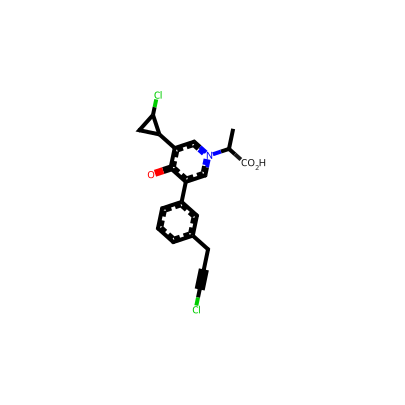 CC(C(=O)O)n1cc(-c2cccc(CC#CCl)c2)c(=O)c(C2CC2Cl)c1